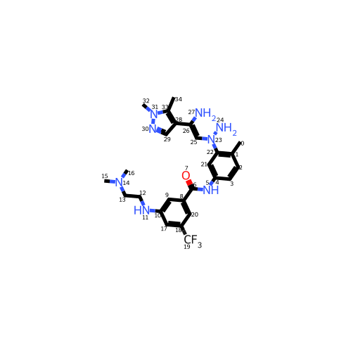 Cc1ccc(NC(=O)c2cc(NCCN(C)C)cc(C(F)(F)F)c2)cc1N(N)/C=C(\N)c1cnn(C)c1C